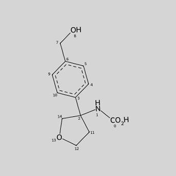 O=C(O)NC1(c2ccc(CO)cc2)CCOC1